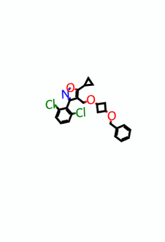 Clc1cccc(Cl)c1-c1noc(C2CC2)c1COC1CC(OCc2ccccc2)C1